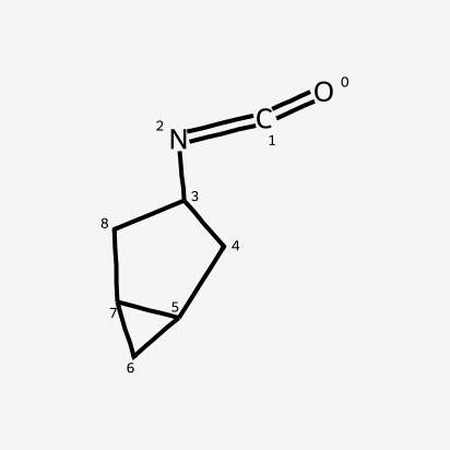 O=C=NC1CC2CC2C1